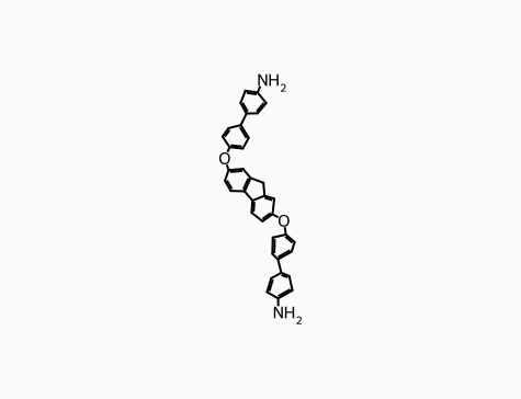 Nc1ccc(-c2ccc(Oc3ccc4c(c3)Cc3cc(Oc5ccc(-c6ccc(N)cc6)cc5)ccc3-4)cc2)cc1